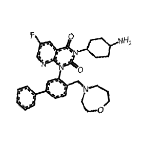 NC1CCC(n2c(=O)c3cc(F)cnc3n(-c3cc(-c4ccccc4)ccc3CN3CCCOCC3)c2=O)CC1